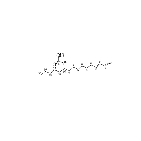 C=CC=CCCCCCCC(CCCCC)CC(=O)O